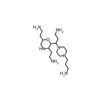 NCCCN1CCN(C(CCN)C2OC(CCN)CNC2CCN)CC1